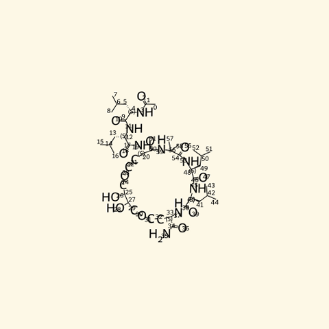 CC(=O)N[C@@H](CC(C)C)C(=O)N[C@@H](CC(C)C)C(=O)N[C@H]1CCOCC(O)C(O)COCC[C@@H](C(N)=O)NC(=O)[C@H](CC(C)C)NC(=O)[C@H](CC(C)C)NC(=O)C(C)(C)NC1=O